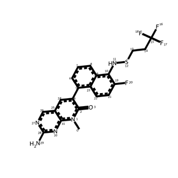 Cn1c(=O)c(-c2cccc3c(NSCCC(F)(F)F)c(F)ccc23)cc2cnc(N)nc21